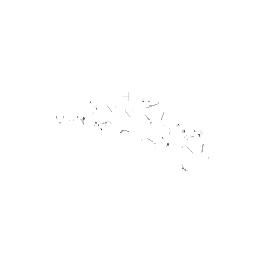 CNc1ncc2cc(-c3c(C)ccc4c(Nc5cc(C(F)(F)F)ccn5)nccc34)ccc2n1